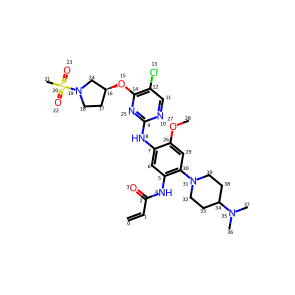 C=CC(=O)Nc1cc(Nc2ncc(Cl)c(O[C@H]3CCN(S(C)(=O)=O)C3)n2)c(OC)cc1N1CCC(N(C)C)CC1